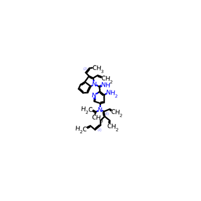 C=C/C=C\C/C(C=C)=C(/C=C)N(C(=C)C)c1cnc(C(=N)n2c(C=C)c(/C=C\C)c3ccccc32)c(N)c1